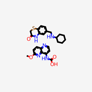 COc1ccc2nccc(NC(=O)O)c2n1.O=C1CSc2ccc(CNC3CCCCC3)cc2N1